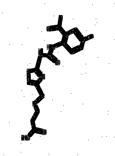 CC(=O)c1cc(C)ccc1NC(=O)Nc1nc(CSCCC(=O)O)cs1